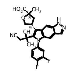 CC(C)(CC#N)c1c([C@@H]2CO[C@@](C)(C(=O)O)C2)c2cc3[nH]ncc3cc2n1-c1ccc(F)c(F)c1